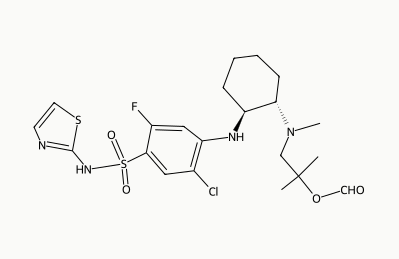 CN(CC(C)(C)OC=O)[C@H]1CCCC[C@@H]1Nc1cc(F)c(S(=O)(=O)Nc2nccs2)cc1Cl